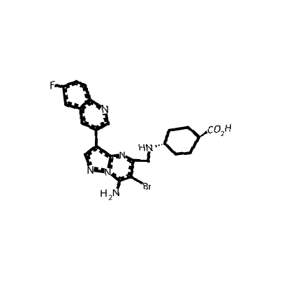 Nc1c(Br)c(CN[C@H]2CC[C@H](C(=O)O)CC2)nc2c(-c3cnc4ccc(F)cc4c3)cnn12